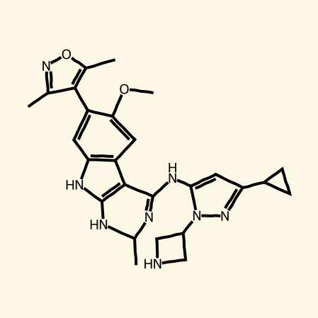 COc1cc2c3c([nH]c2cc1-c1c(C)noc1C)NC(C)N=C3Nc1cc(C2CC2)nn1C1CNC1